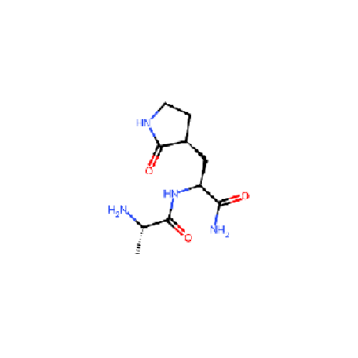 C[C@H](N)C(=O)N[C@@H](C[C@@H]1CCNC1=O)C(N)=O